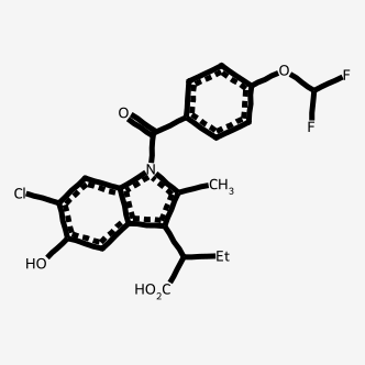 CCC(C(=O)O)c1c(C)n(C(=O)c2ccc(OC(F)F)cc2)c2cc(Cl)c(O)cc12